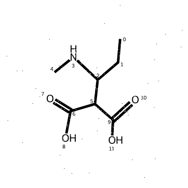 CCC(NC)C(C(=O)O)C(=O)O